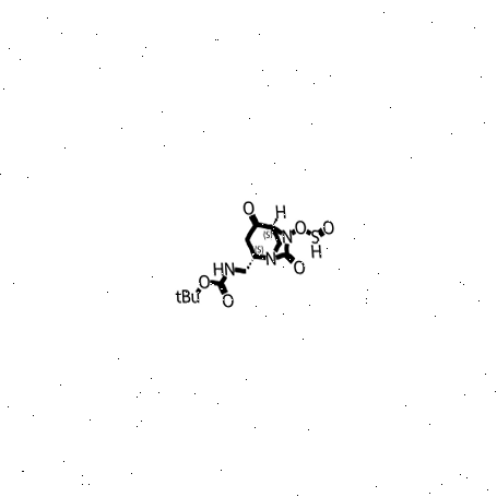 CC(C)(C)OC(=O)NC[C@@H]1CC(=O)[C@@H]2CN1C(=O)N2O[SH]=O